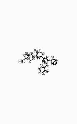 Oc1nnc2n1CCN(c1nc(-c3cc(-c4ccon4)n(Cc4ccccc4F)n3)ncc1F)C2